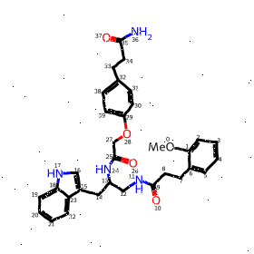 COc1ccccc1CCC(=O)NCC(Cc1c[nH]c2ccccc12)NC(=O)COc1ccc(CCC(N)=O)cc1